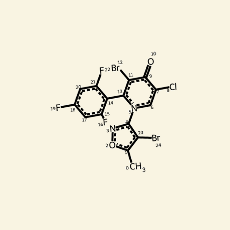 Cc1onc(-n2cc(Cl)c(=O)c(Br)c2-c2c(F)cc(F)cc2F)c1Br